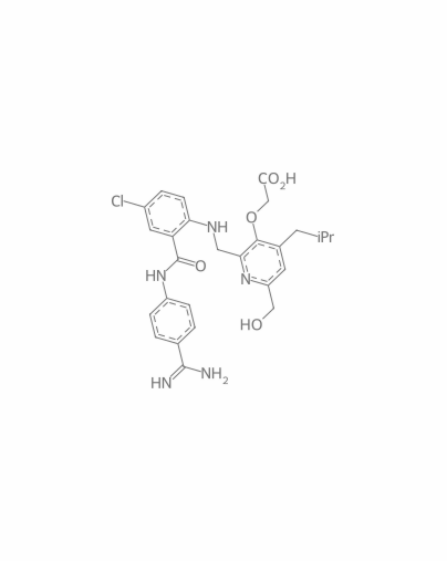 CC(C)Cc1cc(CO)nc(CNc2ccc(Cl)cc2C(=O)Nc2ccc(C(=N)N)cc2)c1OCC(=O)O